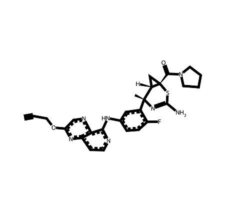 C#CCOc1cnc2c(Nc3ccc(F)c([C@@]4(C)N=C(N)S[C@@]5(C(=O)N6CCCC6)C[C@H]54)c3)nccc2n1